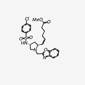 COC(=O)CCC/C=C\[C@@H]1C[C@@H](NS(=O)(=O)c2ccc(Cl)cc2)CN1Cc1nc2ccccc2o1